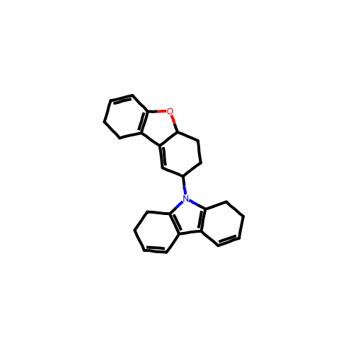 C1=CC2=C(CC1)C1=CC(n3c4c(c5c3CCC=C5)C=CCC4)CCC1O2